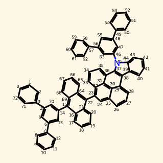 c1ccc(-c2cc(-c3ccccc3)cc(-c3c4ccccc4c(-c4cc5cccc6c5c5c4cccc5c4c6c5ccccc5n4-c4cc(-c5ccccc5)cc(-c5ccccc5)c4)c4ccccc34)c2)cc1